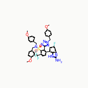 COc1ccc(CN(Cc2ccc(OC)cc2)S(=O)(=O)c2c(C(F)(F)F)ccc(-c3cc(F)cc4nc(N)[nH]c34)c2-c2nnn(Cc3ccc(OC)cc3)n2)cc1